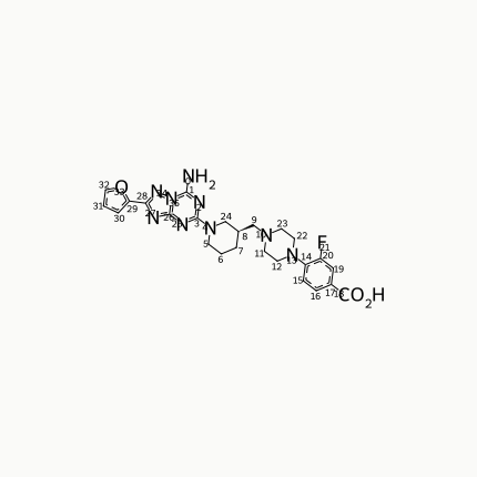 Nc1nc(N2CCC[C@H](CN3CCN(c4ccc(C(=O)O)cc4F)CC3)C2)nc2nc(-c3ccco3)nn12